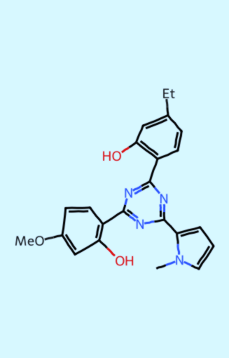 CCc1ccc(-c2nc(-c3ccc(OC)cc3O)nc(-c3cccn3C)n2)c(O)c1